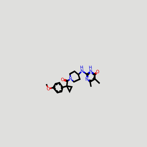 COc1ccc(C2(C(=O)N3CCC(Nc4nc(C)c(C)c(=O)[nH]4)CC3)CC2)cc1